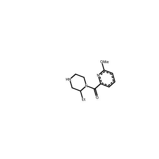 CCC1CNCCN1C(=O)c1cccc(OC)n1